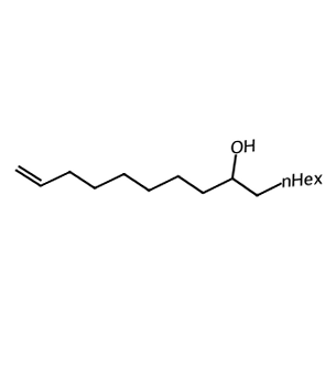 C=CCCCCCCC(O)CCCCCCC